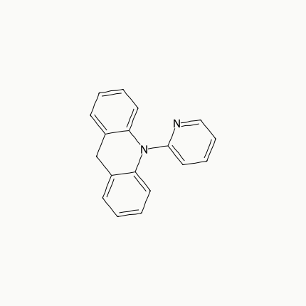 c1ccc(N2c3ccccc3Cc3ccccc32)nc1